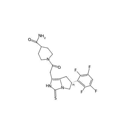 NC(=O)C1CCN(C(=O)Cc2[nH]c(=S)n3c2C[C@H](c2c(F)c(F)cc(F)c2F)C3)CC1